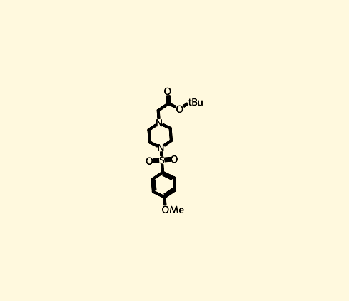 COc1ccc(S(=O)(=O)N2CCN(CC(=O)OC(C)(C)C)CC2)cc1